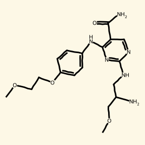 COCCOc1ccc(Nc2nc(NCC(N)COC)ncc2C(N)=O)cc1